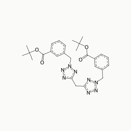 CC(C)(C)OC(=O)c1cccc(Cn2nnc(Cc3nnn(Cc4cccc(C(=O)OC(C)(C)C)c4)n3)n2)c1